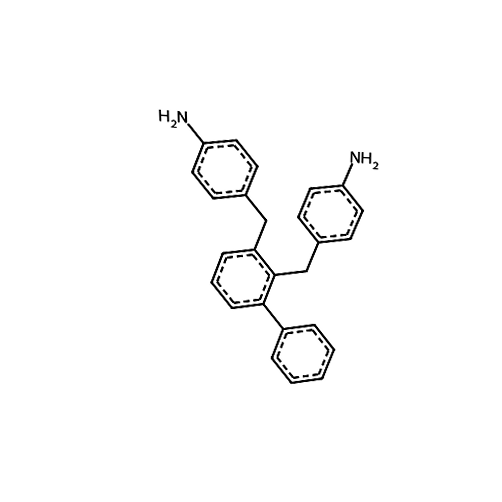 Nc1ccc(Cc2cccc(-c3ccccc3)c2Cc2ccc(N)cc2)cc1